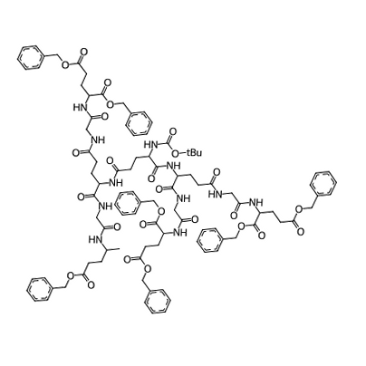 CC(CCC(=O)OCc1ccccc1)NC(=O)CNC(=O)C(CCC(=O)NCC(=O)NC(CCC(=O)OCc1ccccc1)C(=O)OCc1ccccc1)NC(=O)CCC(NC(=O)OC(C)(C)C)C(=O)NC(CCC(=O)NCC(=O)NC(CCC(=O)OCc1ccccc1)C(=O)OCc1ccccc1)C(=O)NCC(=O)NC(CCC(=O)OCc1ccccc1)C(=O)OCc1ccccc1